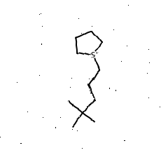 CC(C)(C)CCC[S+]1CCCC1